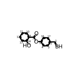 B=Cc1ccc(OC(=O)c2ccccc2O)cc1